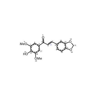 COc1cc(C(=O)/C=C/c2ccc3c(c2)OCO3)cc(OC)c1O